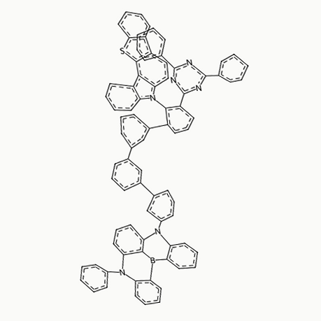 c1ccc(-c2nc(-c3ccccc3)nc(-c3cccc(-c4cccc(-c5cccc(-c6cccc(N7c8ccccc8B8c9ccccc9N(c9ccccc9)c9cccc7c98)c6)c5)c4)c3-n3c4ccccc4c4c5sc6ccccc6c5ccc43)n2)cc1